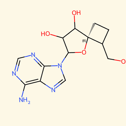 Nc1ncnc2c1ncn2C1O[C@@]2(CCC2CO)C(O)C1O